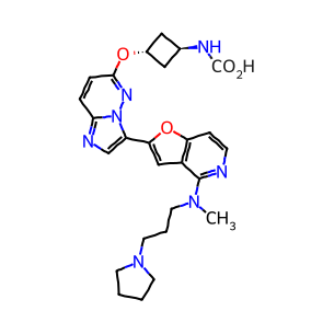 CN(CCCN1CCCC1)c1nccc2oc(-c3cnc4ccc(O[C@H]5C[C@H](NC(=O)O)C5)nn34)cc12